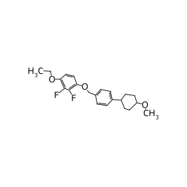 CCOc1ccc(OCc2ccc(C3CCC(OC)CC3)cc2)c(F)c1F